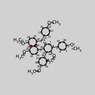 COc1ccc(-c2cc(P(c3ccc(OC)cc3)c3ccc(OC)cc3)c(-c3ccc(OC)cc3)c(-c3ccc(OC)cc3)c2OC)cc1